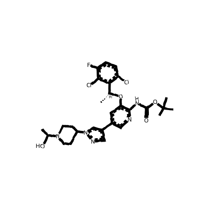 CC(O)N1CCC(n2cc(-c3cnc(NC(=O)OC(C)(C)C)c(O[C@H](C)c4c(Cl)ccc(F)c4Cl)c3)cn2)CC1